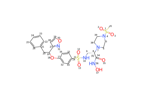 CS(=O)(=O)N1CCN([C@@H](CNS(=O)(=O)c2ccc(OC(Cc3ccccc3)c3ccon3)cc2)C(=O)NO)CC1